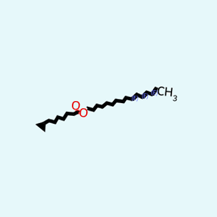 C/C=C/C=C/C=C/CCCCCCCCCOC(=O)CCCCCCC1CC1